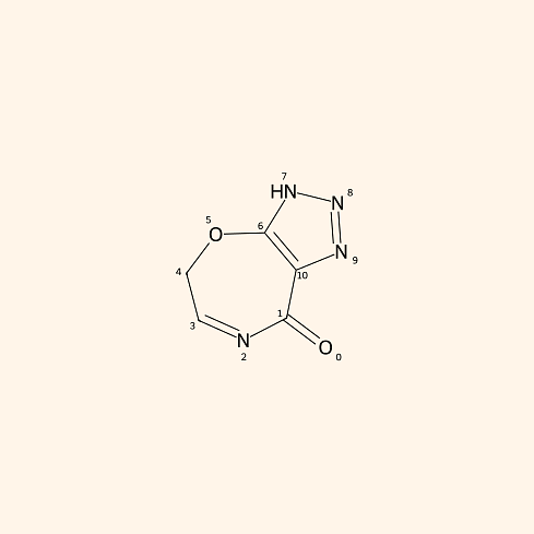 O=C1N=CCOc2[nH]nnc21